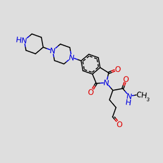 CNC(=O)C(CCC=O)N1C(=O)c2ccc(N3CCN(C4CCNCC4)CC3)cc2C1=O